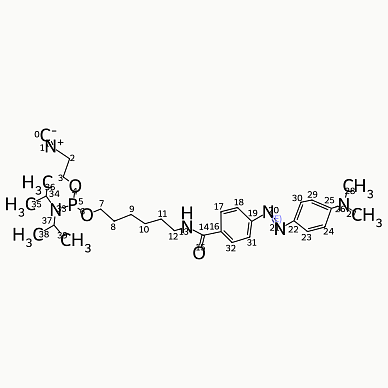 [C-]#[N+]CCOP(OCCCCCCNC(=O)c1ccc(/N=N/c2ccc(N(C)C)cc2)cc1)N(C(C)C)C(C)C